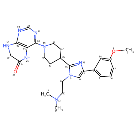 COc1cccc(-c2cn(CCN(C)C)c(C3CCN(c4ncnc5c4NC(=O)CN5)CC3)n2)c1